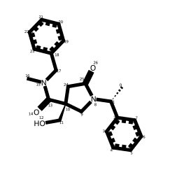 C[C@H](c1ccccc1)N1C[C@](CO)(C(=O)N(C)Cc2ccccc2)CC1=O